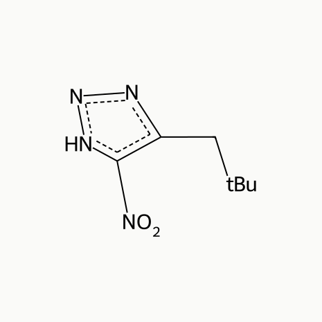 CC(C)(C)Cc1nn[nH]c1[N+](=O)[O-]